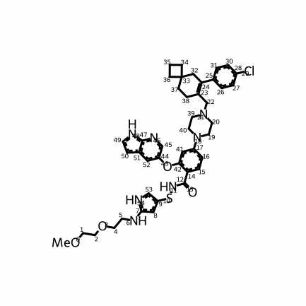 COCCOCCNc1cc(SNC(=O)c2ccc(N3CCN(CC4=C(c5ccc(Cl)cc5)CC5(CCC5)CC4)CC3)cc2Oc2cnc3[nH]ccc3c2)c[nH]1